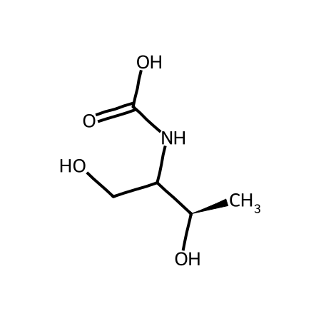 C[C@@H](O)C(CO)NC(=O)O